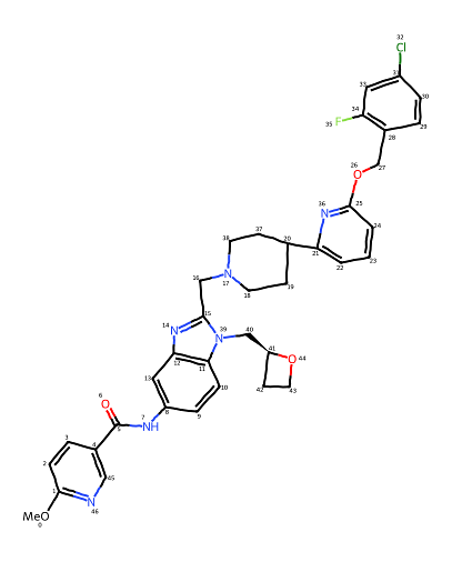 COc1ccc(C(=O)Nc2ccc3c(c2)nc(CN2CCC(c4cccc(OCc5ccc(Cl)cc5F)n4)CC2)n3C[C@@H]2CCO2)cn1